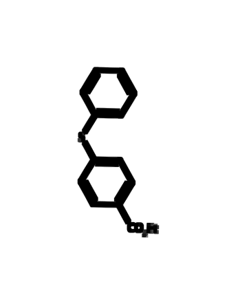 CCOC(=O)c1ccc(Sc2ccccc2)cc1